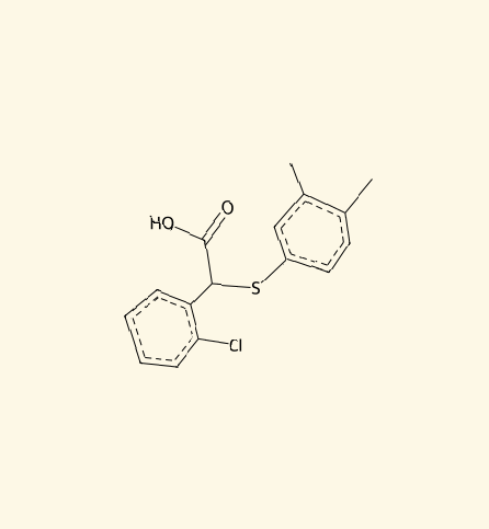 Cc1ccc(SC(C(=O)O)c2ccccc2Cl)cc1C